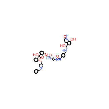 O=C(COc1cccc(C(O)(C(=O)OCC2CCN(Cc3ccccc3)CC2)c2ccccc2)c1)N[C@H]1C[C@H](NC(=O)Cc2ccc(CNC[C@H](O)c3ccc(O)c4[nH]c(=O)ccc34)cc2)C1